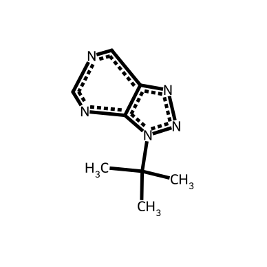 CC(C)(C)n1nnc2cncnc21